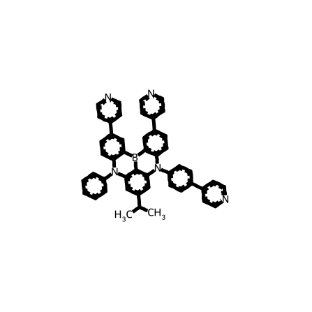 CC(C)c1cc2c3c(c1)N(c1ccc(-c4ccncc4)cc1)c1ccc(-c4ccncc4)cc1B3c1cc(-c3ccncc3)ccc1N2c1ccccc1